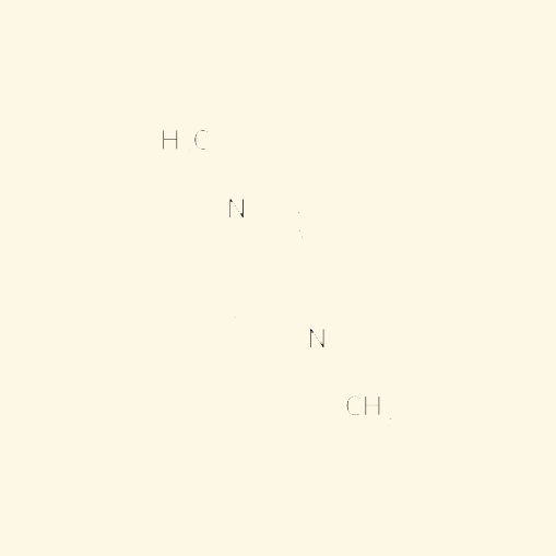 CN1CC2CC1=CN2C